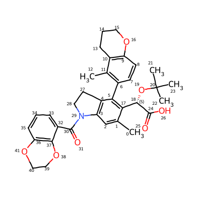 Cc1cc2c(c(-c3ccc4c(c3C)CCCO4)c1[C@H](OC(C)(C)C)C(=O)O)CCN2C(=O)c1cccc2c1OCCO2